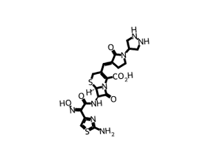 Nc1nc(/C(=N/O)C(=O)N[C@@H]2C(=O)N3C(C(=O)O)=C(C=C4CCN(C5CNNC5)C4=O)CS[C@H]23)cs1